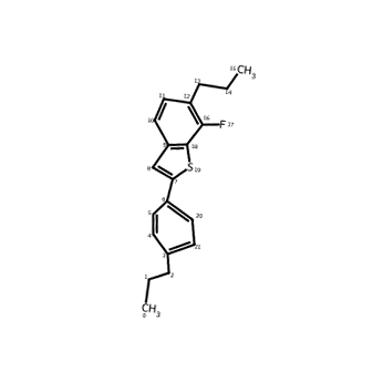 CCCc1ccc(-c2cc3ccc(CCC)c(F)c3s2)cc1